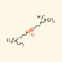 CC(C)CCCCCO[PH](=O)CCCCCC(C)C